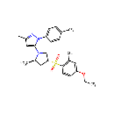 Cc1cc(N2C[C@H](S(=O)(=O)c3ccc(OCC(F)(F)F)cc3C(F)(F)F)C[C@H]2C(=O)O)n(-c2ccc(C(F)(F)F)cc2)n1